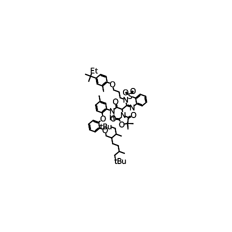 CCC(C)(C)c1ccc(OCCCN2C(C(C(=O)Nc3cc(C)ccc3Oc3ccccc3OCC(CCC(C)CC(C)(C)C)C(C)CC(C)(C)C)N3C(=O)OC(C)(C)C3=O)=Nc3ccccc3S2(=O)=O)c(C)c1